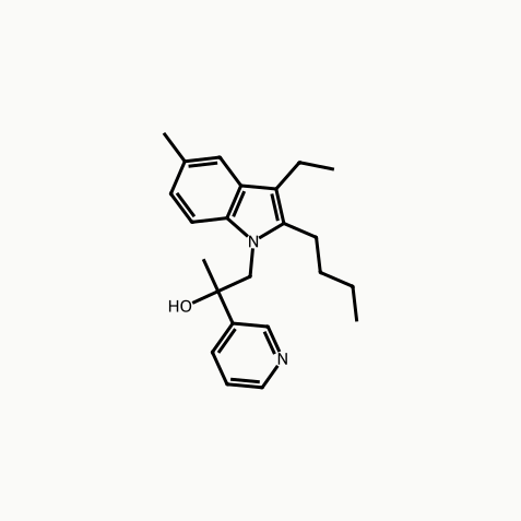 CCCCc1c(CC)c2cc(C)ccc2n1CC(C)(O)c1cccnc1